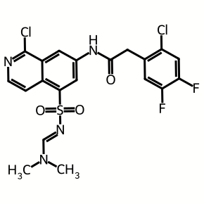 CN(C)/C=N/S(=O)(=O)c1cc(NC(=O)Cc2cc(F)c(F)cc2Cl)cc2c(Cl)nccc12